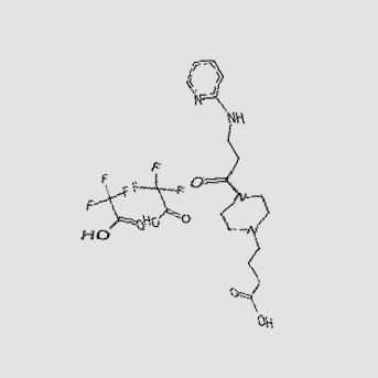 O=C(O)C(F)(F)F.O=C(O)C(F)(F)F.O=C(O)CCCN1CCN(C(=O)CCNc2ccccn2)CC1